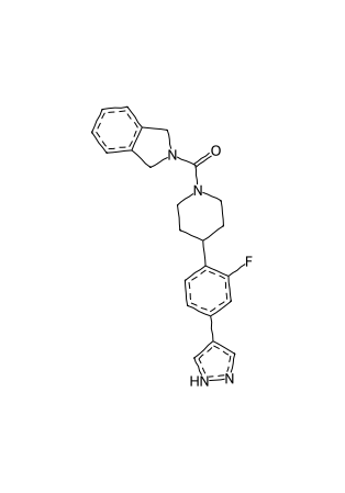 O=C(N1CCC(c2ccc(-c3cn[nH]c3)cc2F)CC1)N1Cc2ccccc2C1